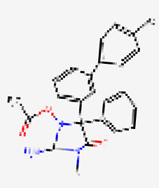 CC(=O)c1ccc(-c2cccc(C3(c4ccccc4)C(=O)N(C)C(N)N3OC(=O)C(F)(F)F)c2)cc1